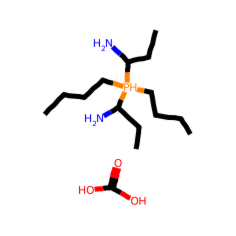 CCCC[PH](CCCC)(C(N)CC)C(N)CC.O=C(O)O